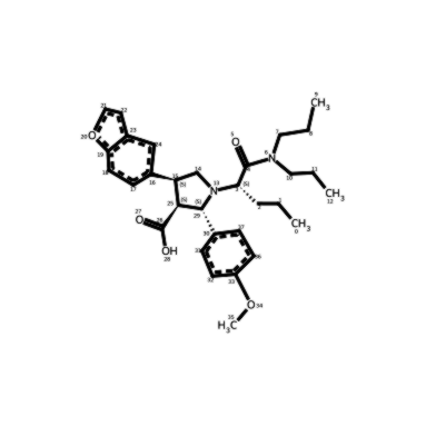 CCC[C@@H](C(=O)N(CCC)CCC)N1C[C@H](c2ccc3occc3c2)[C@H](C(=O)O)[C@H]1c1ccc(OC)cc1